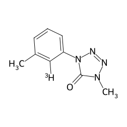 [3H]c1c(C)cccc1-n1nnn(C)c1=O